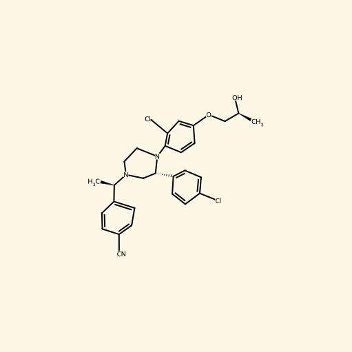 C[C@H](O)COc1ccc(N2CCN([C@H](C)c3ccc(C#N)cc3)C[C@H]2c2ccc(Cl)cc2)c(Cl)c1